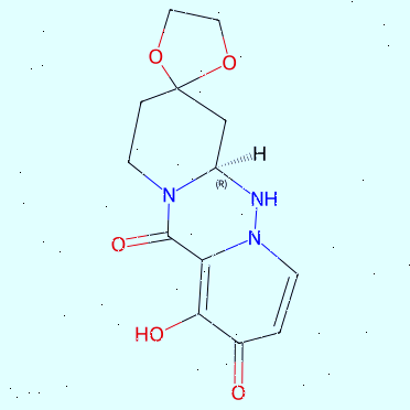 O=C1c2c(O)c(=O)ccn2N[C@@H]2CC3(CCN12)OCCO3